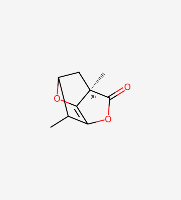 CC1C2=C3OC1C[C@@]3(C)C(=O)O2